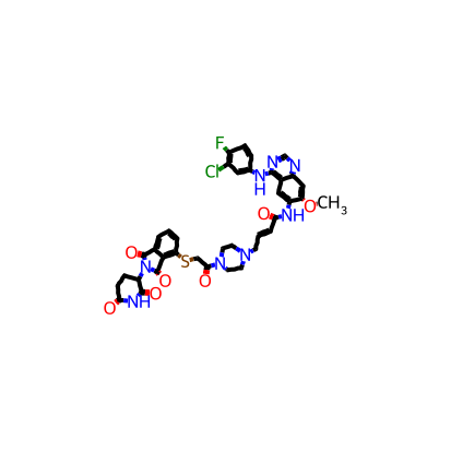 COc1cc2ncnc(Nc3ccc(F)c(Cl)c3)c2cc1NC(=O)/C=C/CN1CCN(C(=O)CSc2cccc3c2C(=O)N(C2CCC(=O)NC2=O)C3=O)CC1